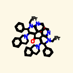 CC(C)CN1c2ncccc2C(C(=O)C2=C(N3CCc4ccccc4C3)C(c3ccccc3)N(CC(C)C)c3ncccc32)=C(N2CCc3ccccc3C2)C1c1ccccc1